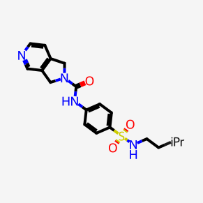 CC(C)CCNS(=O)(=O)c1ccc(NC(=O)N2Cc3ccncc3C2)cc1